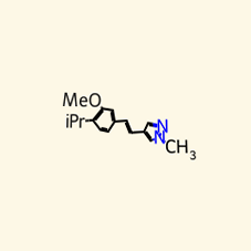 COc1cc(/C=C/c2cnn(C)c2)ccc1C(C)C